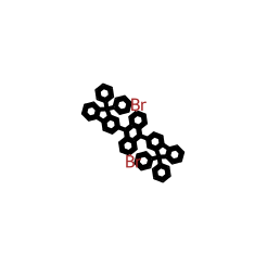 Brc1ccc2c(-c3ccc4c(c3)C(c3ccccc3)(c3ccccc3)c3ccccc3-4)c3cc(Br)ccc3c(-c3ccc4c(c3)C(c3ccccc3)(c3ccccc3)c3ccccc3-4)c2c1